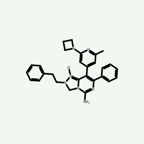 Cc1cc(C2=C(c3ccccc3)N=C(N)N3CN(CCc4ccccc4)[N+]([O-])=C23)cc(N2CCC2)n1